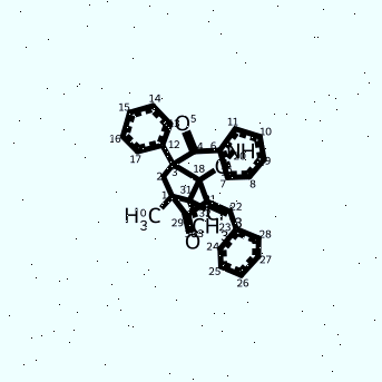 CC12CC(C(=O)c3ccccc3)(c3ccccc3)C(CN)(C(=Cc3ccccc3)C1=O)C2(C)C